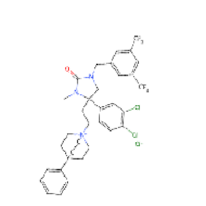 CN1C(=O)N(Cc2cc(C(F)(F)F)cc(C(F)(F)F)c2)CC1(CC[N+]12CCC(c3ccccc3)(CC1)CC2)c1ccc(Cl)c(Cl)c1.[Cl-]